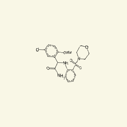 COc1ccc(Cl)cc1C(Nc1ccccc1S(=O)(=O)N1CCOCC1)C(N)=O